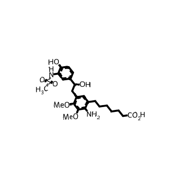 COc1c(CC(O)c2ccc(O)c(NS(C)(=O)=O)c2)cc(CCCCCCC(=O)O)c(N)c1OC